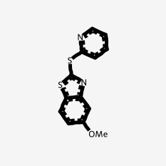 COc1ccc2sc(Sc3ccccn3)nc2c1